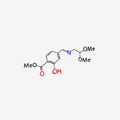 COC(=O)c1ccc(C=NCC(OC)OC)cc1O